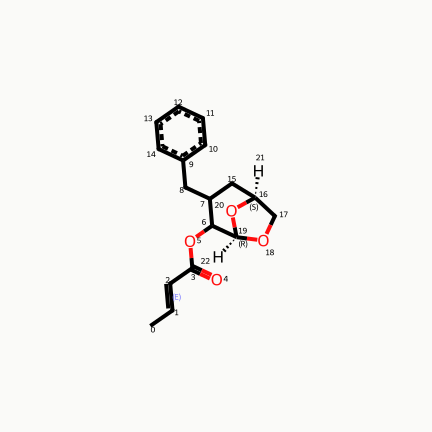 C/C=C/C(=O)OC1C(Cc2ccccc2)C[C@H]2CO[C@@H]1O2